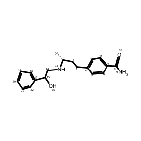 C[C@H](CCc1ccc(C(N)=O)cc1)NCC(O)c1ccccc1